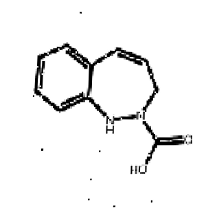 O=C(O)N1CC=Cc2ccccc2N1